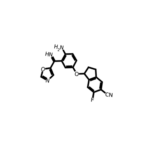 N#Cc1cc2c(cc1F)C(Oc1ccc(N)c(C(=N)c3cnco3)c1)CC2